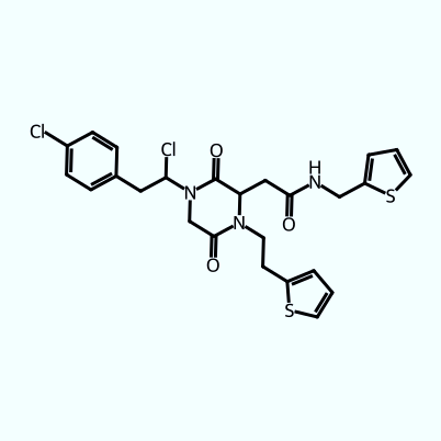 O=C(CC1C(=O)N(C(Cl)Cc2ccc(Cl)cc2)CC(=O)N1CCc1cccs1)NCc1cccs1